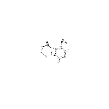 C1CCNCC1.Cc1ccc(N)cc1